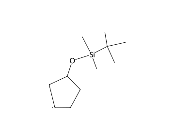 CC(C)(C)[Si](C)(C)OC1C[CH]CC1